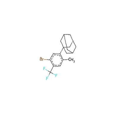 Cc1cc(C(F)(F)F)c(Br)cc1C12CC3CC(CC(C3)C1)C2